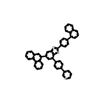 c1cncc(-c2ccc(-c3cc(-c4cc5ccccc5c5ccccc45)cc4oc(-c5ccc(-c6cccc7ccccc67)cc5)nc34)cc2)c1